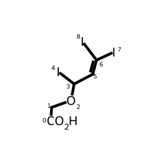 O=C(O)COC(I)C=C(I)I